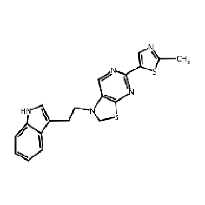 Cc1ncc(-c2ncc3c(n2)SCN3CCc2c[nH]c3ccccc23)s1